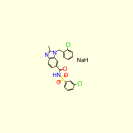 Cc1nc2ccc(C(=O)NS(=O)(=O)c3cccc(Cl)c3)cc2n1Cc1ccccc1Cl.[NaH]